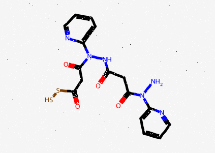 NN(C(=O)CC(=O)NN(C(=O)CC(=O)SS)c1ccccn1)c1ccccn1